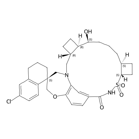 O=C1NS(=O)(=O)[C@H]2CC[C@@H]2CCC[C@H](O)[C@@H]2CC[C@H]2CN2C[C@@]3(CCCc4cc(Cl)ccc43)COc3ccc1cc32